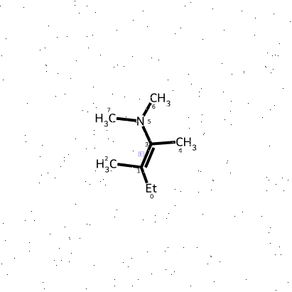 CC/C(C)=C(\C)N(C)C